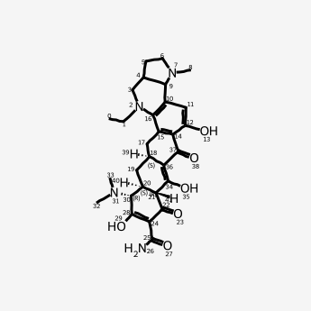 CCN1CC2CCN(C)C2c2cc(O)c3c(c21)C[C@@H]1C[C@H]2[C@@H](C(=O)C(C(N)=O)=C(O)[C@@H]2N(C)C)C(O)=C1C3=O